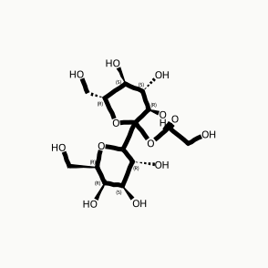 O=C(CO)OC1(C2O[C@H](CO)[C@H](O)[C@H](O)[C@H]2O)O[C@H](CO)[C@@H](O)[C@H](O)[C@H]1O